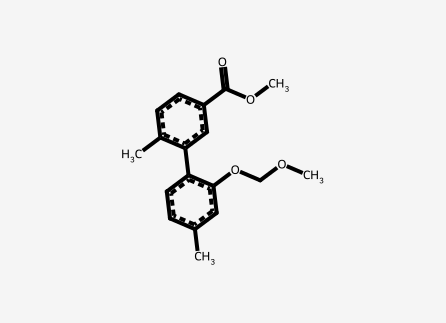 COCOc1cc(C)ccc1-c1cc(C(=O)OC)ccc1C